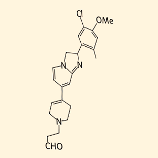 COc1cc(C)c(C2CN3C=CC(C4=CCN(CCC=O)CC4)=CC3=N2)cc1Cl